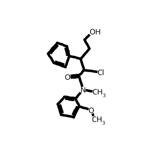 COc1ccccc1N(C)C(=O)C(Cl)C(CCO)c1ccccc1